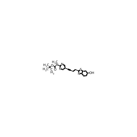 CN(C(=O)OC(C)(C)C)c1ncc(C#C/C=C/c2nc3ccc(O)cc3s2)cn1